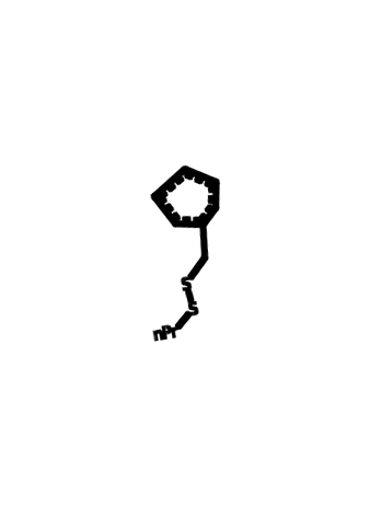 CCCSSCc1ccccc1